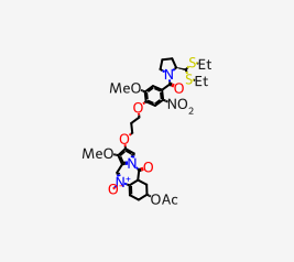 CCSC(SCC)[C@@H]1CCCN1C(=O)c1cc(OC)c(OCCCOc2cn3c(c2OC)C=[N+]([O-])C2=CCC(OC(C)=O)CC2C3=O)cc1[N+](=O)[O-]